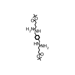 CC(C)(C)OC(=O)CCCC(N)NCc1ccc(CNC(N)CCCC(=O)OC(C)(C)C)cc1